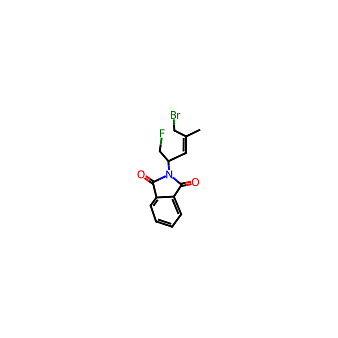 CC(=CC(CF)N1C(=O)c2ccccc2C1=O)CBr